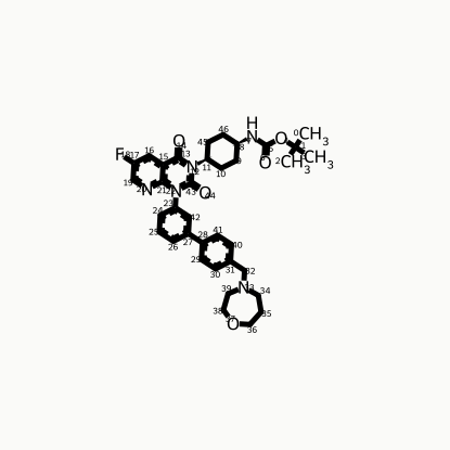 CC(C)(C)OC(=O)N[C@H]1CC[C@@H](n2c(=O)c3cc(F)cnc3n(-c3cccc(-c4ccc(CN5CCCOCC5)cc4)c3)c2=O)CC1